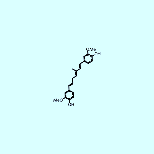 COc1cc(/C=C/C/C=C(C)/C=C/c2ccc(O)c(OC)c2)ccc1O